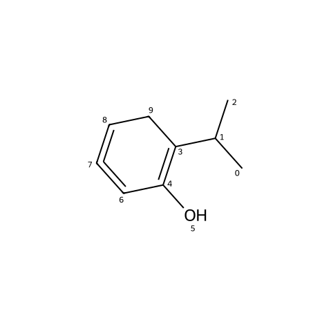 CC(C)C1=C(O)C=C=CC1